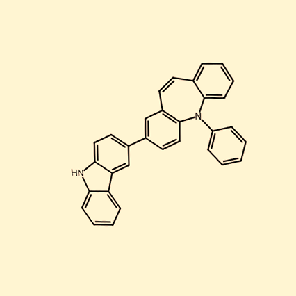 C1=Cc2cc(-c3ccc4[nH]c5ccccc5c4c3)ccc2N(c2ccccc2)c2ccccc21